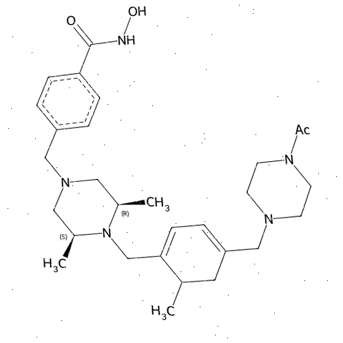 CC(=O)N1CCN(CC2=CC=C(CN3[C@H](C)CN(Cc4ccc(C(=O)NO)cc4)C[C@@H]3C)C(C)C2)CC1